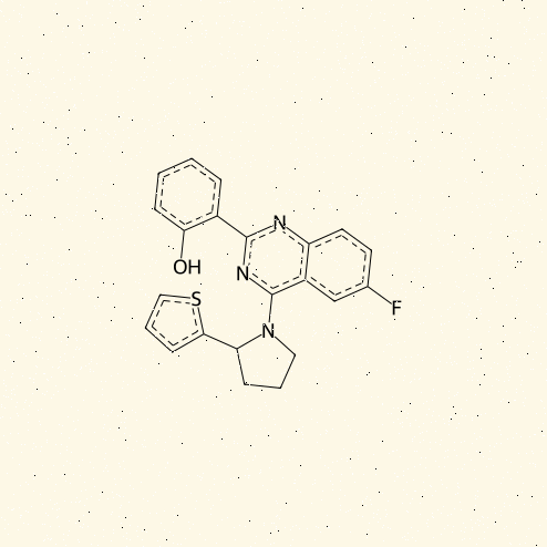 Oc1ccccc1-c1nc(N2CCCC2c2cccs2)c2cc(F)ccc2n1